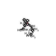 Cc1cc(Cc2cc(C)c(C(C)C)c(C)c2)cc(C)c1OCC(O)COc1ccc(C(C)(c2ccc(OCC(O)CO)cc2)P2(=O)Oc3ccccc3-c3ccccc32)cc1